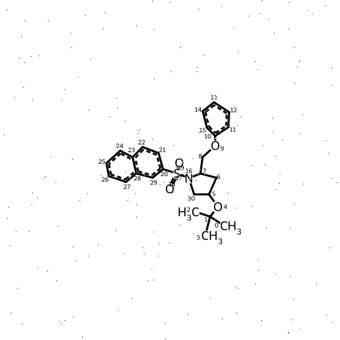 CC(C)(C)OC1CC(COc2ccccc2)N(S(=O)(=O)c2ccc3ccccc3c2)C1